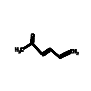 C=CC=CC(C)=O